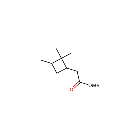 COC(=O)CC1CC(C)C1(C)C